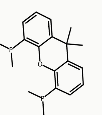 CP(C)c1cccc2c1Oc1c(P(C)C)cccc1C2(C)C